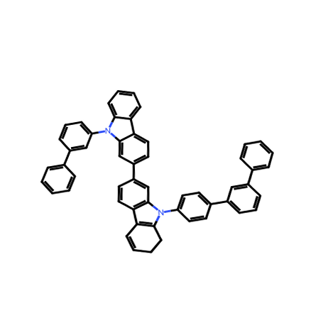 C1=Cc2c(n(-c3ccc(-c4cccc(-c5ccccc5)c4)cc3)c3cc(-c4ccc5c6ccccc6n(-c6cccc(-c7ccccc7)c6)c5c4)ccc23)CC1